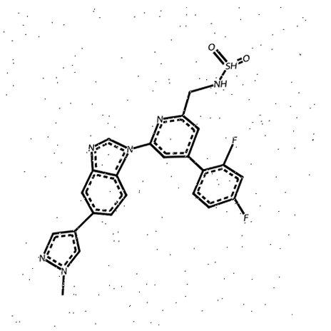 Cn1cc(-c2ccc3c(c2)ncn3-c2cc(-c3ccc(F)cc3F)cc(CN[SH](=O)=O)n2)cn1